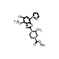 CC1CN(C(=O)OC(C)(C)C)CCN1c1nc2c(OC(F)(F)F)c(Cl)cc(-n3cccn3)c2o1